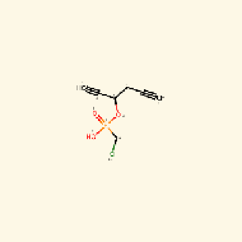 C#CCC(C#C)OP(=O)(O)CCl